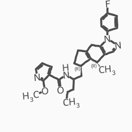 CCCC(C[C@H]1CCC2=C1[C@@H](C)c1cnn(-c3ccc(F)cc3)c1C2)NC(=O)c1cccnc1OC